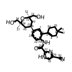 CC1(C)CC=C(c2cc([C@@H]3C[C@](C)(CO)O[C@](C)(CO)C3)ccc2NC(=O)c2nc(C#N)c[nH]2)CC1